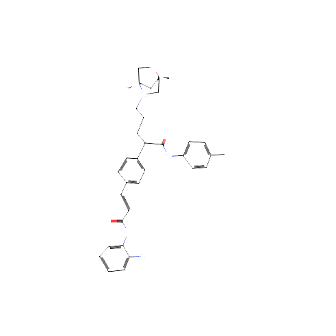 N#Cc1ccc(NC(=O)C(CCCN2C[C@@H]3C[C@H]2CO3)c2ccc(/C=C/C(=O)Nc3ccccc3N)cc2)cc1